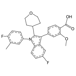 COc1cc(-c2c(C3CCOCC3)n(-c3ccc(F)c(C)c3)c3ccc(F)cc23)ccc1C(=O)O